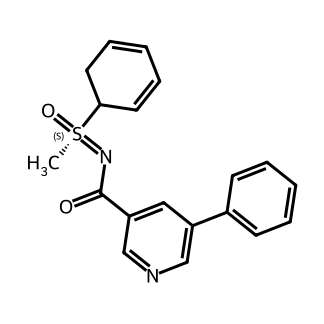 C[S@@](=O)(=NC(=O)c1cncc(-c2ccccc2)c1)C1C=CC=CC1